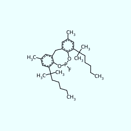 CCCCCC(C)(C)c1cc(C)cc2c1OP(F)Oc1c(cc(C)cc1C(C)(C)CCCCC)C2